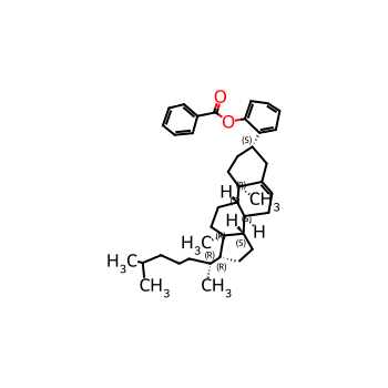 CC(C)CCC[C@@H](C)[C@H]1CC[C@H]2[C@@H]3CC=C4C[C@@H](c5ccccc5OC(=O)c5ccccc5)CC[C@]4(C)[C@H]3CC[C@]12C